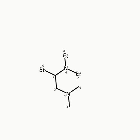 [CH2]CC(CN(C)C)N(CC)CC